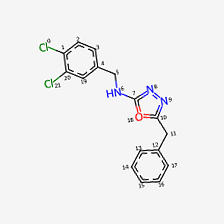 Clc1ccc(CNc2nnc(Cc3ccccc3)o2)cc1Cl